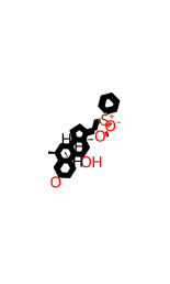 CO/C(C[S+]([O-])c1ccccc1)=C1/CC[C@H]2[C@@H]3C[C@H](C)C4=CC(=O)CC[C@]4(C)[C@H]3[C@@H](O)C[C@]12C